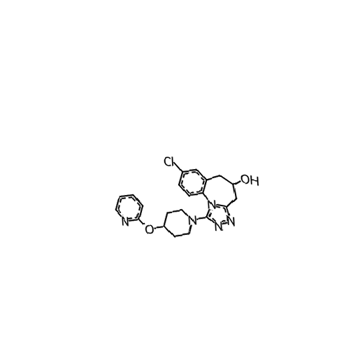 OC1Cc2cc(Cl)ccc2-n2c(nnc2N2CCC(Oc3ccccn3)CC2)C1